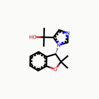 CC(C)(O)c1cncn1[C@H]1c2ccccc2OC1(C)C